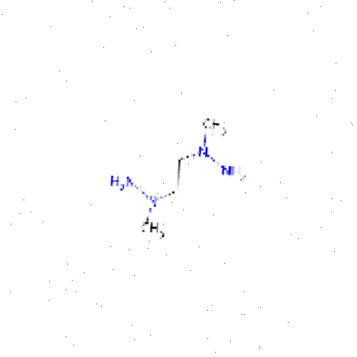 CN(N)CCN(C)N